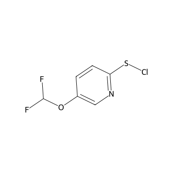 FC(F)Oc1ccc(SCl)nc1